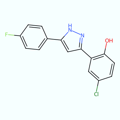 Oc1ccc(Cl)cc1-c1cc(-c2ccc(F)cc2)[nH]n1